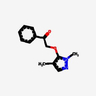 Cc1cnn(C)c1OCC(=O)c1ccccc1